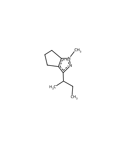 CCC(C)c1nn(C)c2c1CCC2